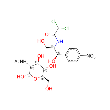 CC(=O)N[C@@H]1[C@@H](O)[C@H](O)[C@@H](CO)O[C@@H]1O.O=C(N[C@H](CO)[C@H](O)c1ccc([N+](=O)[O-])cc1)C(Cl)Cl